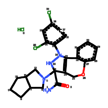 Cl.NC(=O)C1(N2CC3CCCC3C2)NN(c2ccc(Cl)cc2Cl)C2=C1COc1ccccc12